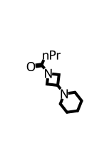 CCCC(=O)N1CC(N2CCCCC2)C1